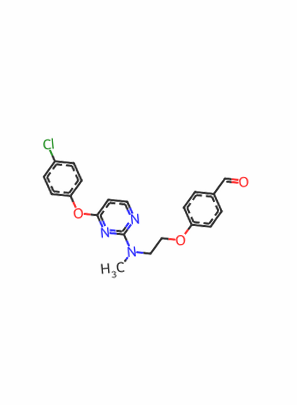 CN(CCOc1ccc(C=O)cc1)c1nccc(Oc2ccc(Cl)cc2)n1